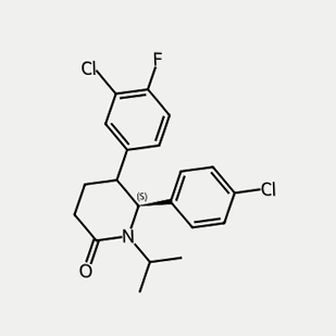 CC(C)N1C(=O)CCC(c2ccc(F)c(Cl)c2)[C@H]1c1ccc(Cl)cc1